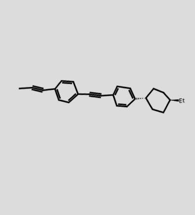 CC#Cc1ccc(C#Cc2ccc([C@H]3CC[C@H](CC)CC3)cc2)cc1